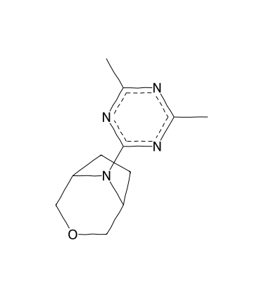 Cc1nc(C)nc(N2C3CCC2COC3)n1